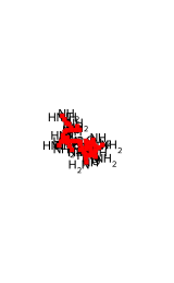 CC(C)[C@H](NC(=O)[C@H](CC(N)=O)NC(=O)[C@H](CCCCN)NC(=O)[C@H](CCC(N)=O)NC(=O)[C@H](CCCNN)N1C(=O)[C@@H](NC(=O)[C@H](C)NC(=O)CNC(=O)[C@H](CCCCN)NC(=O)[C@H](CCCNC(=N)N)NC(=O)[C@H](C)NC(=O)[C@H](Cc2ccccc2)NC(=O)[C@@H](N)CCCNC(=N)N)CC1C)C(N)=O